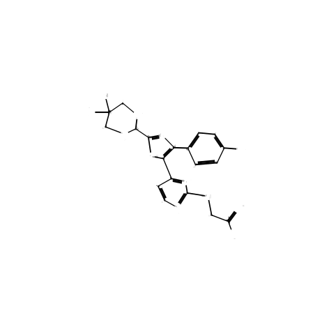 CC1(N)COC(c2nc(-c3ccc(F)cc3)c(-c3ccnc(NCC(=O)O)n3)[nH]2)OC1